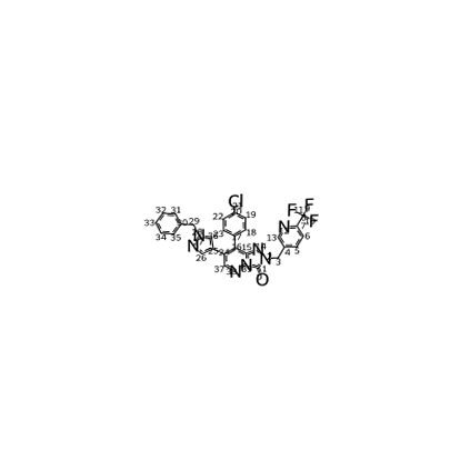 O=c1n(Cc2ccc(C(F)(F)F)nc2)nc2c(-c3ccc(Cl)cc3)c(-c3cnn(Cc4ccccc4)c3)cnn12